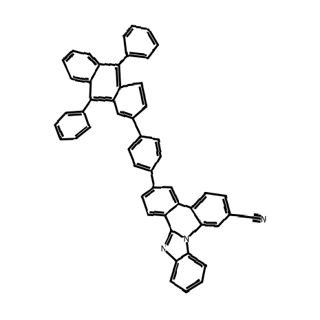 N#Cc1ccc2c3cc(-c4ccc(-c5ccc6c(-c7ccccc7)c7ccccc7c(-c7ccccc7)c6c5)cc4)ccc3c3nc4ccccc4n3c2c1